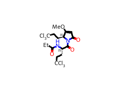 CCC(=O)N[C@@H](CCC(Cl)(Cl)Cl)C(=O)N1C(=O)C=C(OC)[C@@H]1CCC(Cl)(Cl)Cl